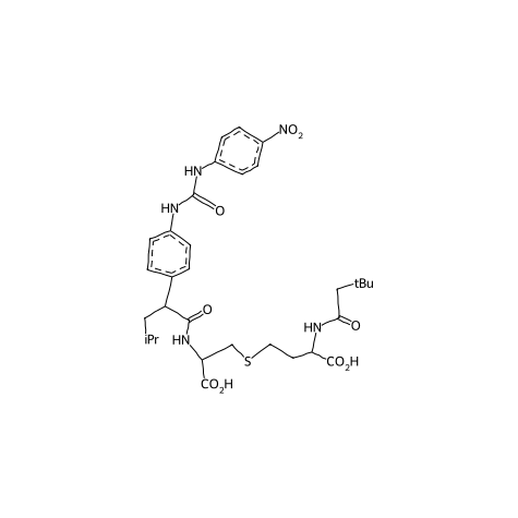 CC(C)CC(C(=O)NC(CSCCC(NC(=O)CC(C)(C)C)C(=O)O)C(=O)O)c1ccc(NC(=O)Nc2ccc([N+](=O)[O-])cc2)cc1